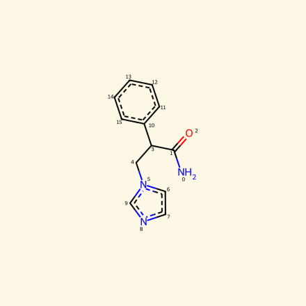 NC(=O)C(Cn1ccnc1)c1ccccc1